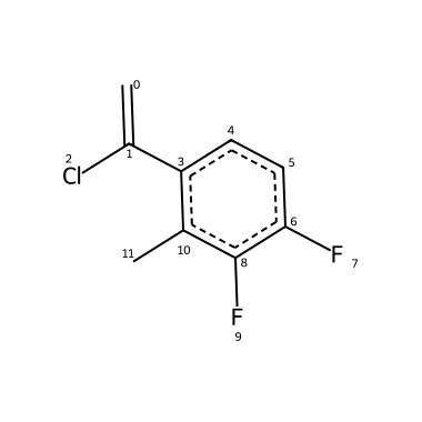 C=C(Cl)c1ccc(F)c(F)c1C